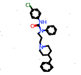 O=C(Nc1ccc(Cl)cc1)N(CCCN1CCC(Cc2ccccc2)CC1)c1ccccc1